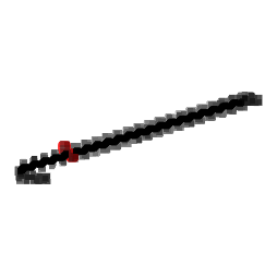 CCCCCC/C=C\CCCCCCCC(=O)OCCCCCCCCCCCCCCCCCCCCCCCCCCCCCCCCC(C)CC